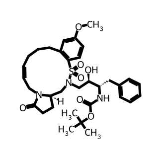 COc1ccc2c(c1)CCC/C=C\CN1C(=O)CC[C@@H]1CN(C[C@@H](O)[C@H](Cc1ccccc1)NC(=O)OC(C)(C)C)S2(=O)=O